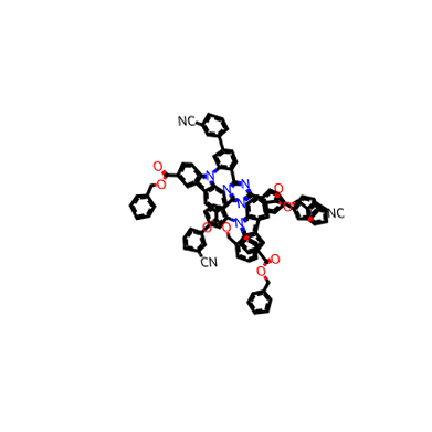 [C-]#[N+]c1ccc(-c2ccc(-c3nc(-c4ccc(-c5cccc(C#N)c5)cc4-n4c5ccc(C(=O)OCc6ccccc6)cc5c5cc(C(=O)OCc6ccccc6)ccc54)nc(-c4ccc(-c5cccc(C#N)c5)cc4-n4c5ccc(C(=O)OCc6ccccc6)cc5c5cc(C(=O)OCc6ccccc6)ccc54)n3)cc2)cc1